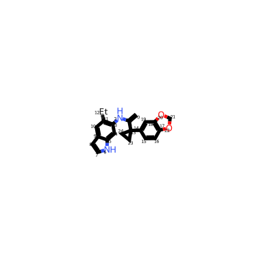 C=C(Nc1cc2[nH]ccc2cc1CC)C1(c2ccc3c(c2)OCO3)CC1